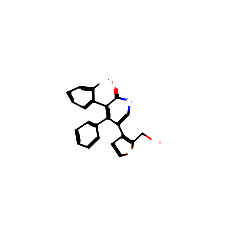 N#Cc1ccccc1-c1c(-c2ccccc2)c(-c2ccsc2CO)c[nH]c1=O